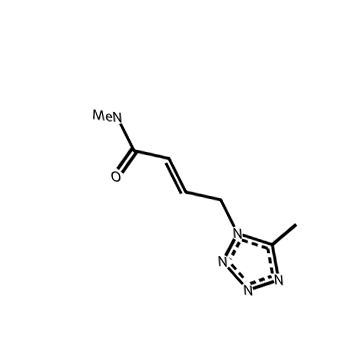 CNC(=O)/C=C/Cn1nnnc1C